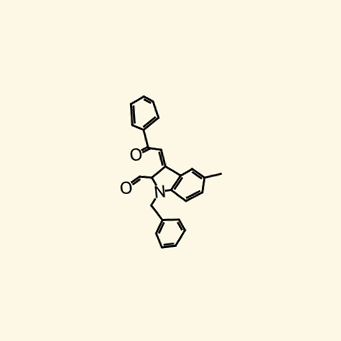 Cc1ccc2c(c1)C(=CC(=O)c1ccccc1)C(C=O)N2Cc1ccccc1